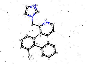 FC(F)(F)c1cccc(-c2cccnc2Cn2ccnc2)c1-c1ccccc1